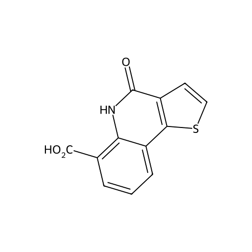 O=C(O)c1cccc2c1[nH]c(=O)c1ccsc12